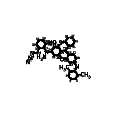 Cc1cccc(C)c1/N=c1/ccc2c(-c3ccccc3S(=O)(=O)O)c3ccc(N(N)c4c(C)cccc4CN=[N+]=[N-])cc3oc-2c1